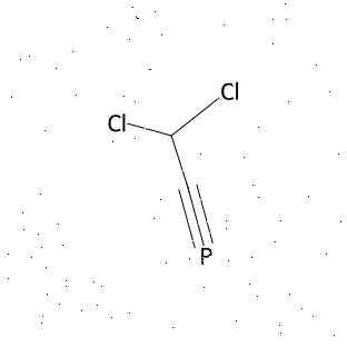 P#CC(Cl)Cl